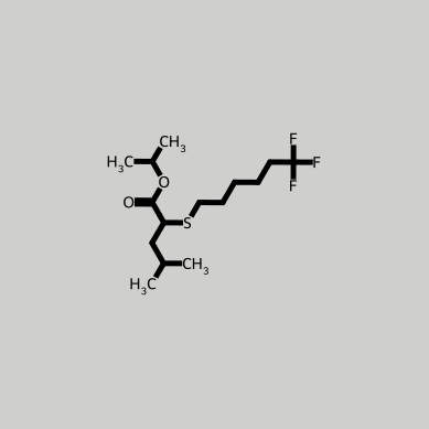 CC(C)CC(SCCCCCC(F)(F)F)C(=O)OC(C)C